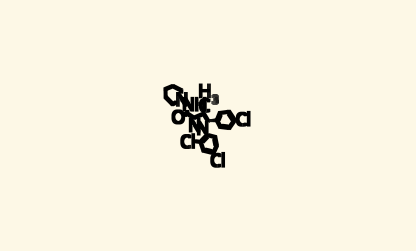 C[C@H]1C(C(=O)NN2CCCCC2)=NN(c2ccc(Cl)cc2Cl)[C@@H]1c1ccc(Cl)cc1